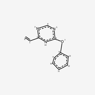 C=Cc1ncnc(Oc2ccccc2)n1